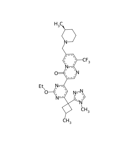 CCOc1nc(-c2cnc3c(C(F)(F)F)cc(CN4CCC[C@H](C)C4)cn3c2=O)cc(C2(c3nncn3C)CC(C)C2)n1